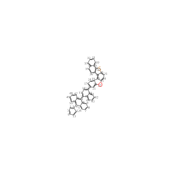 c1ccc(-c2c3ccccc3c(-c3ccc(-c4ccc5c(c4)oc4ccc6sc7c8ccccc8ccc7c6c45)c4ccccc34)c3ccccc23)cc1